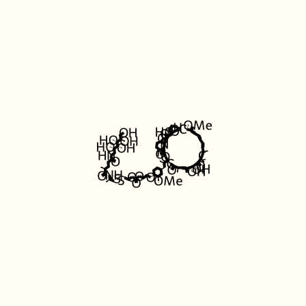 CO[C@H]1C[C@@H]2CC[C@@H](C)[C@@](O)(O2)C(=O)C(=O)N2CCCC[C@H]2C(=O)O[C@H]([C@H](C)C[C@@H]2CC[C@@H](OCCOC(=O)OCCSSC[C@@H](C)NC(=O)[C@@H](C)CCC(=O)NC[C@H](O)[C@@H](O)[C@H](O)[C@H](O)CO)[C@H](OC)C2)CC(=O)[C@H](C)/C=C(\C)[C@@H](O)[C@@H](O)C(=O)[C@H](C)C[C@H](C)/C=C/C=C/C=C/1C